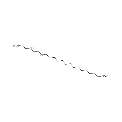 CCCCCCCCCCCCCCCCCCCCCCCCNCCNCCN